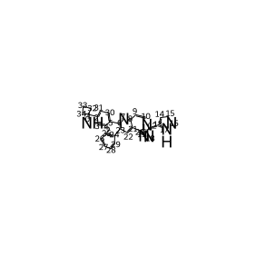 NC1(c2ccc(-c3nc4ccn5c(-c6ccn[nH]6)nnc5c4cc3-c3ccccc3)cc2)CCC1